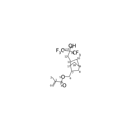 C=C(C)C(=O)OCC1CC2CC(CC(O)(C(F)(F)F)C(F)(F)F)C1C2